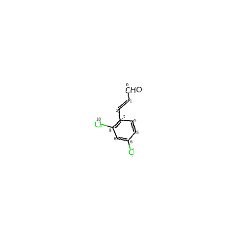 O=[C]C=Cc1ccc(Cl)cc1Cl